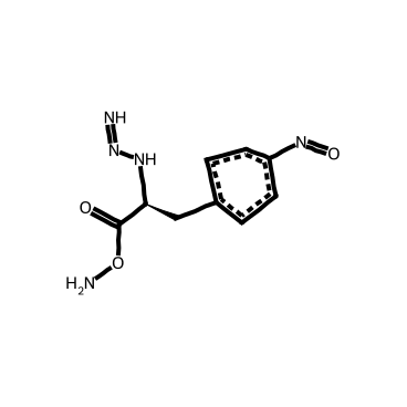 N=NN[C@@H](Cc1ccc(N=O)cc1)C(=O)ON